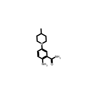 CC1CCN(c2ccc(N)c(C(N)=O)c2)CC1